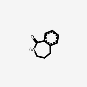 O=C1NCCCc2ccccc21